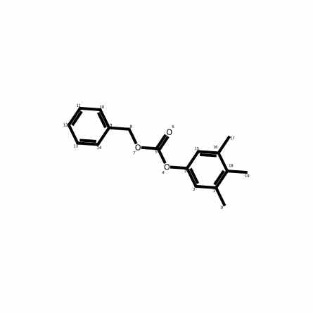 Cc1cc(OC(=O)OCc2ccccc2)cc(C)c1C